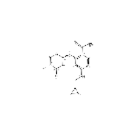 C[C@@H]1CC[C@@H](Nc2nc(NCC3CC3)ncc2C(N)=O)C[C@H]1O